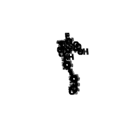 O=C(O)CN(C(=O)[C@@H]1C[C@H](F)CN1)[C@@H]1C[C@H](C(=O)NCc2ccc(C#Cc3ccc(CN4CCOCC4)cc3)cc2)N(C(=O)C2CC2)C1